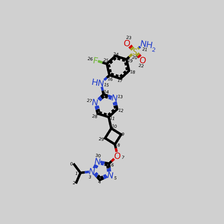 CC(C)n1cnc(OC2CC(c3cnc(Nc4ccc(S(N)(=O)=O)cc4F)nc3)C2)n1